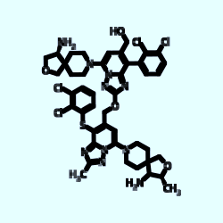 Cc1nc2c(Sc3cccc(Cl)c3Cl)c(COc3nc4c(-c5cccc(Cl)c5Cl)c(CO)cc(N5CCC6(CC5)COC[C@H]6N)n4n3)cc(N3CCC4(CC3)CO[C@@H](C)C4N)n2n1